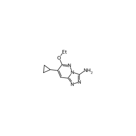 CCOc1nn2c(N)nnc2cc1C1CC1